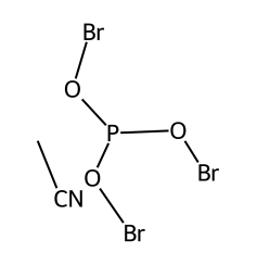 BrOP(OBr)OBr.CC#N